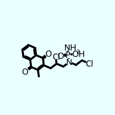 CC1=C(CC(Cl)CN(CCCl)P(N)(=O)O)C(=O)c2ccccc2C1=O